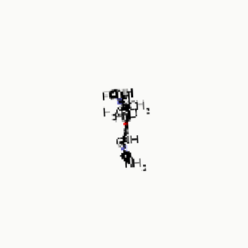 Cc1[nH]c(/C=C2\C(=O)Nc3ccc(F)cc32)c(C)c1C(=O)NCCCCCCNC(=O)/C=C/c1ccc(N)nc1